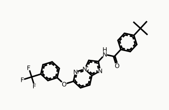 CC(C)(C)c1ccc(C(=O)Nc2cn3nc(Oc4cccc(C(F)(F)F)c4)ccc3n2)cc1